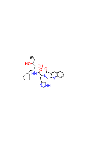 CC(C)C[C@H](O)[C@H](O)[C@H](CC1CCCCC1)NC(=O)[C@H](Cc1c[nH]cn1)N1Cc2nc3ccccc3cc2C1=O